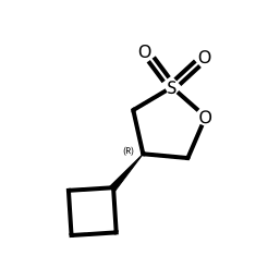 O=S1(=O)C[C@H](C2CCC2)CO1